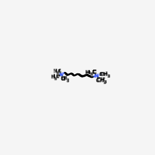 C[N+](C)(C)CCCCCCCC[N+](C)(C)C